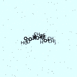 Cc1nn(Cc2ccc(-c3ccccc3C(=O)O)cc2)c2ccc(C(=O)N[C@H](c3cccc(C(C)C)c3)C(F)(F)F)cc12